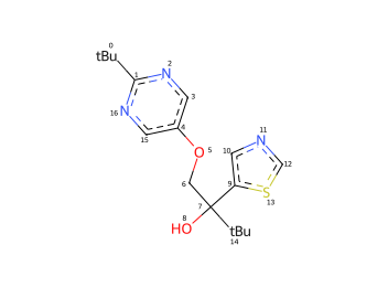 CC(C)(C)c1ncc(OCC(O)(c2cncs2)C(C)(C)C)cn1